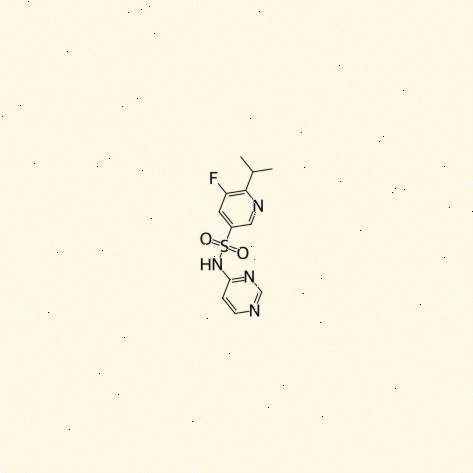 CC(C)c1ncc(S(=O)(=O)Nc2ccncn2)cc1F